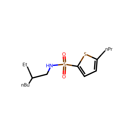 CCCCC(CC)CNS(=O)(=O)c1ccc(CCC)s1